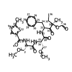 COC[C@H](NC(=O)c1cnc(C)s1)C(=O)N[C@@H](COC)C(=O)NC(Cc1ccccc1)C(=O)[C@@](C)(CI)OC=O